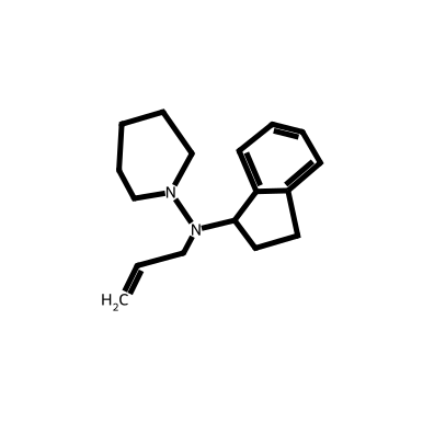 C=CCN(C1CCc2ccccc21)N1CCCCC1